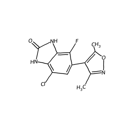 Cc1noc(C)c1-c1cc(Cl)c2[nH]c(=O)[nH]c2c1F